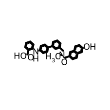 CN(Cc1cccc(-c2ccc(Nc3ccccc3C(=O)O)cc2)c1)C(=O)c1ccc2cc(O)ccc2c1